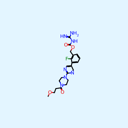 COCCC(=O)N1CCN(c2ncc(-c3cccc(COC(=O)NC(=N)N)c3F)cn2)CC1